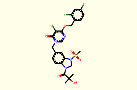 CC(C)(O)C(=O)N1CN(S(C)(=O)=O)c2cc(Cn3cnc(OCc4ccc(F)cc4F)c(Cl)c3=O)ccc21